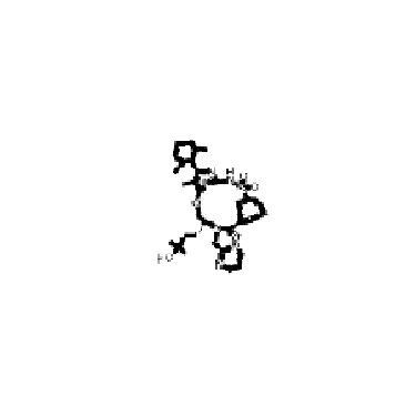 Cc1cccc(C)c1-c1nc2nc(c1C)OC[C@@H](CCC(C)(C)O)N(Cc1ncccn1)C(=O)c1cccc(c1)S(=O)(=O)N2